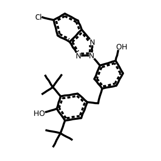 CC(C)(C)c1cc(Cc2ccc(O)c(-n3nc4ccc(Cl)cc4n3)c2)cc(C(C)(C)C)c1O